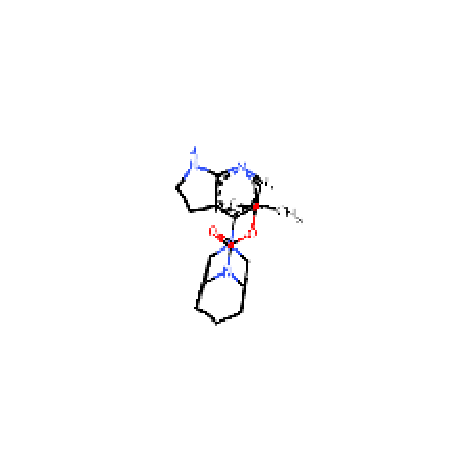 CC(C)(C)OC(=O)N1C2CCCC1CN(c1ccnc3c1CCN3)C2